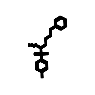 Cc1ccc(S(=O)(=O)C(CCCCc2ccccc2)C(=O)O)cc1